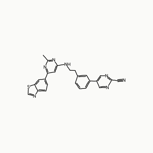 Cc1nc(NCCc2cccc(-c3cnc(C#N)nc3)c2)cc(-c2ccc3ncsc3c2)n1